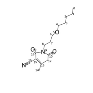 CCCCCOCCCN1C(=O)CC(C)=C(C#N)C1=O